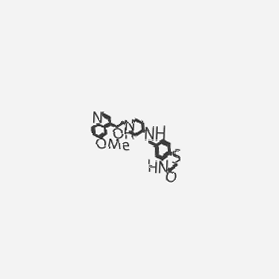 COc1ccc2nccc([C@@H](O)CN3CCC(NCc4ccc5c(c4)NC(=O)CS5)CC3)c2c1